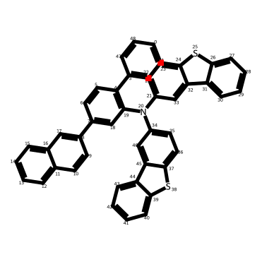 c1ccc(-c2ccc(-c3ccc4ccccc4c3)cc2N(c2ccc3sc4ccccc4c3c2)c2ccc3sc4ccccc4c3c2)cc1